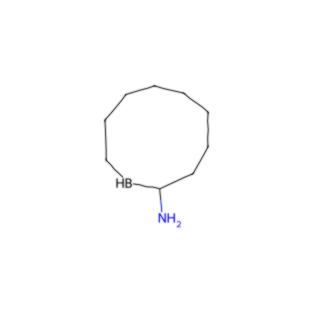 NC1BCCCCCCCC1